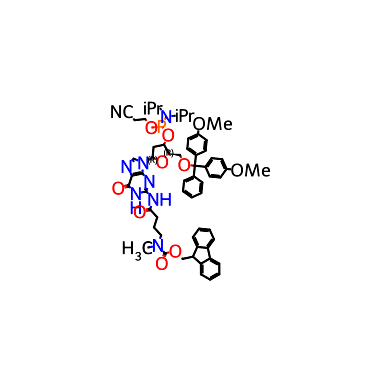 COc1ccc(C(OC[C@H]2O[C@@H](n3cnc4c(=O)[nH]c(NC(=O)CCCN(C)C(=O)OCC5c6ccccc6-c6ccccc65)nc43)CC2OP(OCCC#N)N(C(C)C)C(C)C)(c2ccccc2)c2ccc(OC)cc2)cc1